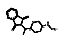 CC([C@@H]1CC[C@@H](NC(=O)O)CO1)N1C(=O)c2ccccc2C1=O